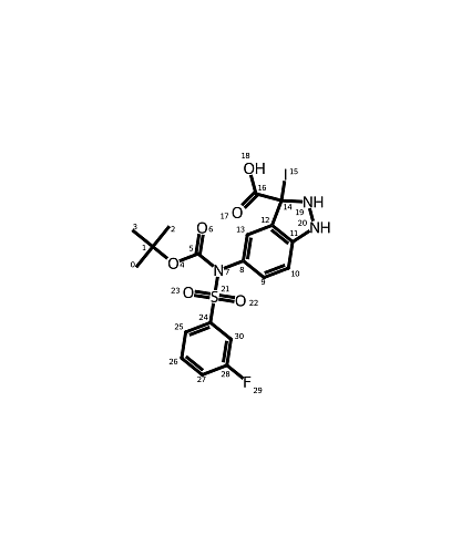 CC(C)(C)OC(=O)N(c1ccc2c(c1)C(I)(C(=O)O)NN2)S(=O)(=O)c1cccc(F)c1